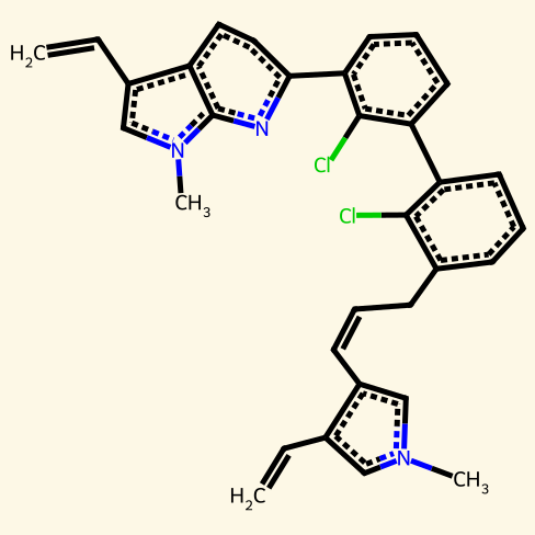 C=Cc1cn(C)cc1/C=C\Cc1cccc(-c2cccc(-c3ccc4c(C=C)cn(C)c4n3)c2Cl)c1Cl